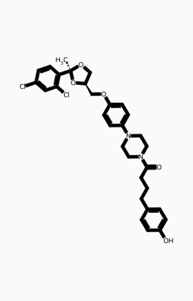 C[C@]1(c2ccc(Cl)cc2Cl)OC[C@@H](COc2ccc(N3CCN(C(=O)CCCc4ccc(O)cc4)CC3)cc2)O1